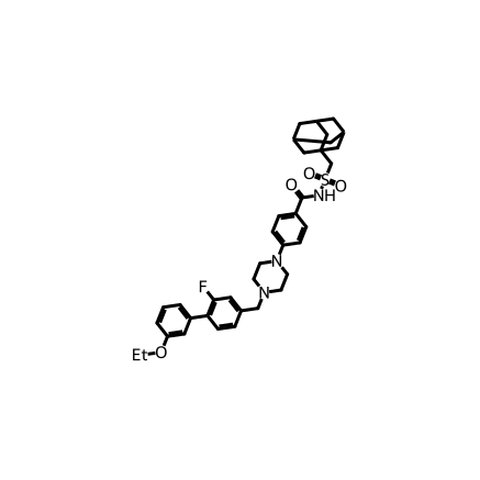 CCOc1cccc(-c2ccc(CN3CCN(c4ccc(C(=O)NS(=O)(=O)CC56CC7CC(CC(C7)C5)C6)cc4)CC3)cc2F)c1